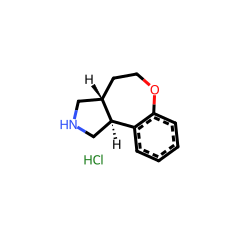 Cl.c1ccc2c(c1)OCC[C@H]1CNC[C@H]21